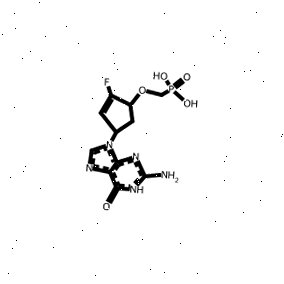 Nc1nc2c(ncn2C2C=C(F)C(OCP(=O)(O)O)C2)c(=O)[nH]1